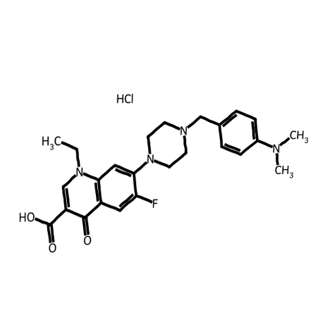 CCn1cc(C(=O)O)c(=O)c2cc(F)c(N3CCN(Cc4ccc(N(C)C)cc4)CC3)cc21.Cl